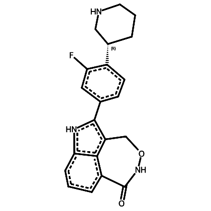 O=C1NOCc2c(-c3ccc([C@H]4CCCNC4)c(F)c3)[nH]c3cccc1c23